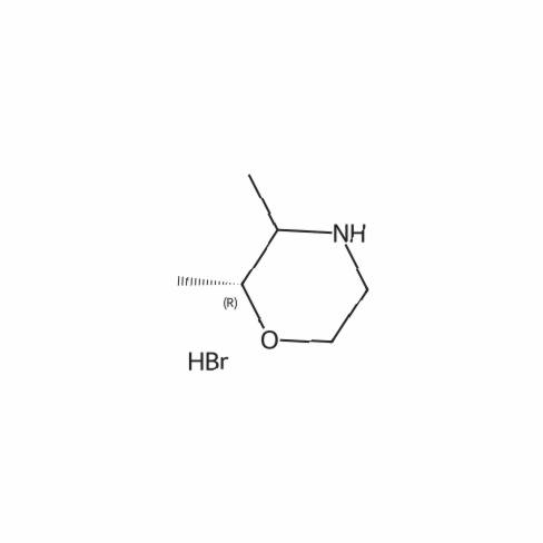 Br.CC1NCCO[C@@H]1C